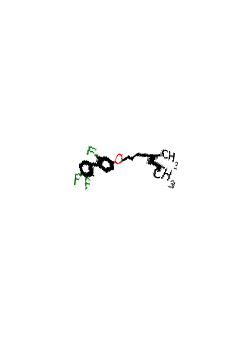 CCCC(C)CCCCOc1ccc(-c2ccc(F)c(F)c2)c(F)c1